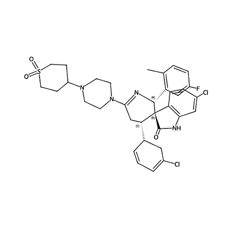 Cc1ccc(F)cc1[C@H]1N=C(N2CCN(C3CCS(=O)(=O)CC3)CC2)C[C@@H](C2C=CC=C(Cl)C2)[C@]12C(=O)Nc1cc(Cl)ccc12